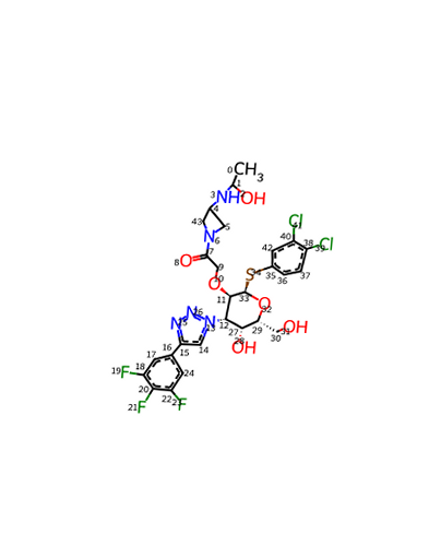 CC(O)NC1CN(C(=O)CO[C@@H]2[C@@H](n3cc(-c4cc(F)c(F)c(F)c4)nn3)[C@@H](O)[C@@H](CO)O[C@@H]2Sc2ccc(Cl)c(Cl)c2)C1